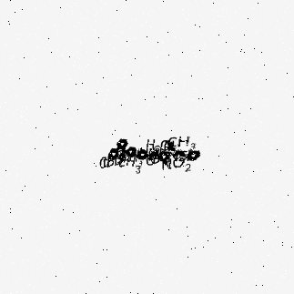 CN(C)CC[C@H](CSc1ccccc1)Nc1ccc(S(=O)(=O)NC(=O)c2ccc(N3CCC([C@@H](O[Si](C)(C)C(C)(C)C)c4ccccc4-c4ccc(Cl)cc4)CC3)cc2)cc1[N+](=O)[O-]